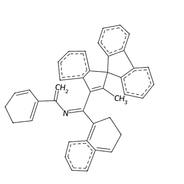 C=C(/N=C(\C1=C(C)C2(c3ccccc31)c1ccccc1-c1ccccc12)C1=c2ccccc2=CCC1)C1=CCCC=C1